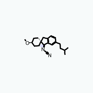 CO[C@H]1CC[C@]2(CC1)Cc1ccc(CCC(C)C)cc1/C2=N\C#N